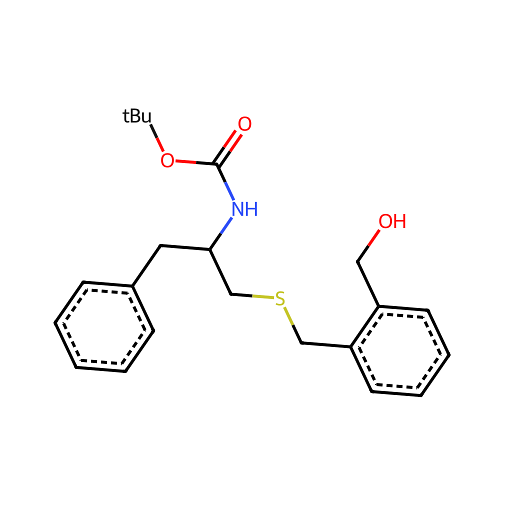 CC(C)(C)OC(=O)NC(CSCc1ccccc1CO)Cc1ccccc1